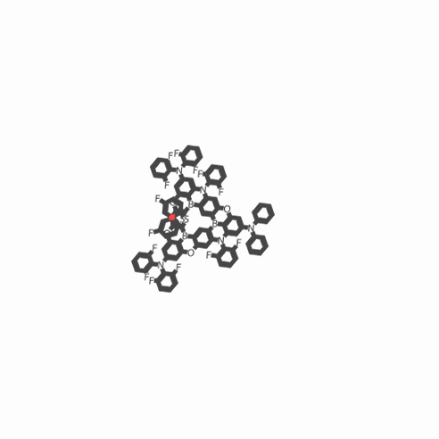 Fc1ccc2sc3c(c2c1)Oc1cc(N(c2c(F)cccc2F)c2c(F)cccc2F)cc2c1B3c1cc3c(cc1O2)N(c1c(F)cccc1F)c1cc(N(c2ccccc2)c2ccccc2)cc2c1B3c1cc3c(cc1O2)N(c1c(F)cccc1F)c1cc(N(c2c(F)cccc2F)c2c(F)cccc2F)cc2c1B3c1sc3ccc(F)cc3c1O2